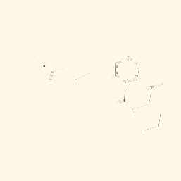 O=C1c2cccc(OCCOC(=O)C(F)(F)S(=O)(=O)O)c2C(=O)C2CCCCC12